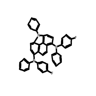 Fc1ccc(N(c2ccccc2)c2ccc3c4c2ccc2c(N(c5ccccc5)c5ccc(F)cc5)ccc(c24)n3-c2ccccc2)cc1